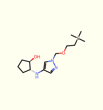 C[Si](C)(C)CCOCn1cc(N[C@@H]2CCC[C@H]2O)cn1